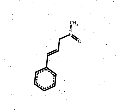 C[PH](=O)CC=Cc1ccccc1